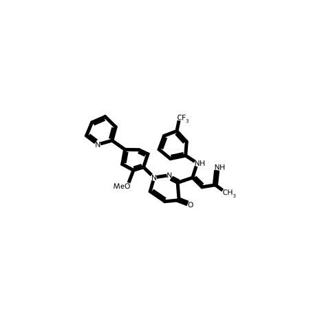 COc1cc(-c2ccccn2)ccc1-n1ccc(=O)c(/C(=C/C(C)=N)Nc2cccc(C(F)(F)F)c2)n1